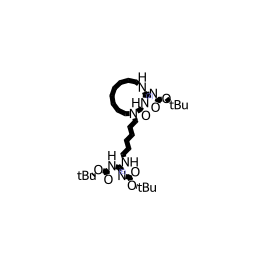 CC(C)(C)OC(=O)/N=C1/NCCCCCCCCN(CCCCCCN/C(=N\C(=O)OC(C)(C)C)NC(=O)OC(C)(C)C)C(=O)N1